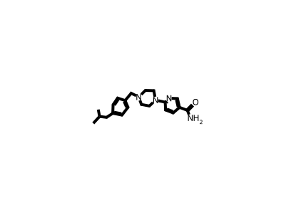 CC(C)Cc1ccc(CN2CCN(c3ccc(C(N)=O)cn3)CC2)cc1